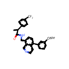 COc1cccc(-c2ccc(CNC(=O)C(C)c3ccc(C(F)(F)F)cc3)c3cnccc23)c1